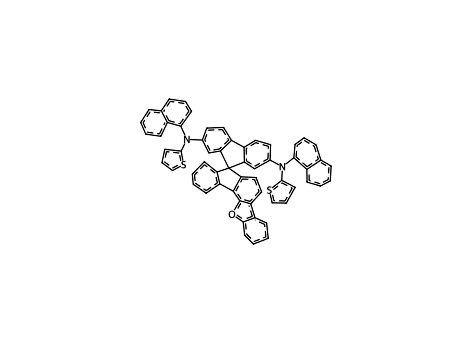 c1csc(N(c2ccc3c(c2)C2(c4cc(N(c5cccs5)c5cccc6ccccc56)ccc4-3)c3ccccc3-c3c2ccc2c3oc3ccccc32)c2cccc3ccccc23)c1